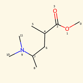 COC(=O)C(C)CC(C)N(C)C